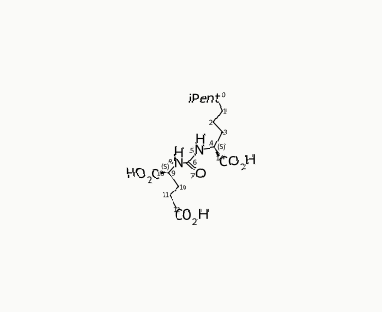 CCCC(C)CCC[C@H](NC(=O)N[C@@H](CCC(=O)O)C(=O)O)C(=O)O